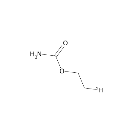 [2H]CCOC(N)=O